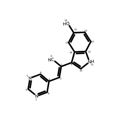 N#C/C(=C\c1cncnc1)c1c[nH]c2ccc(O)cc12